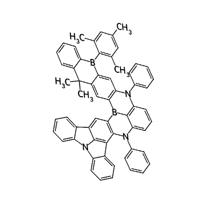 Cc1cc(C)c(B2c3ccccc3C(C)(C)c3cc4c(cc32)N(c2ccccc2)c2cccc3c2B4c2cc4c5ccccc5n5c6ccccc6c(c2N3c2ccccc2)c45)c(C)c1